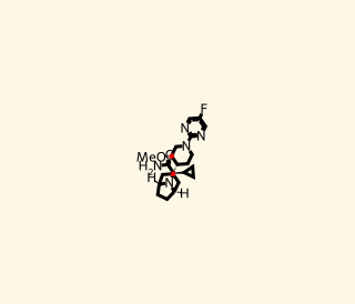 CO[C@@H]1CN(c2ncc(F)cn2)CC[C@@H]1C1C[C@H]2CC[C@@H](C1)N2[C@@H](C(N)=O)C1CC1